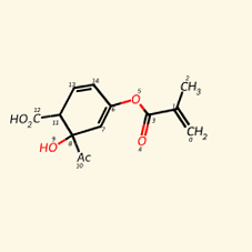 C=C(C)C(=O)OC1=CC(O)(C(C)=O)C(C(=O)O)C=C1